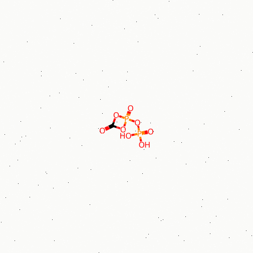 O=C1OP(=O)(OP(=O)(O)O)O1